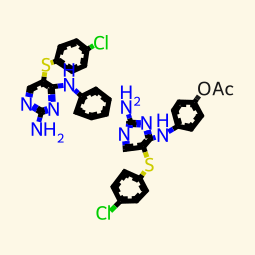 CC(=O)Oc1ccc(Nc2nc(N)ncc2Sc2ccc(Cl)cc2)cc1.Nc1ncc(Sc2ccc(Cl)cc2)c(Nc2ccccc2)n1